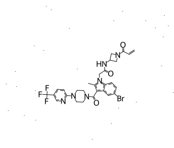 C=CC(=O)N1CC(NC(=O)Cn2c(C)c(C(=O)N3CCN(c4ccc(C(F)(F)F)cn4)CC3)c3cc(Br)ccc32)C1